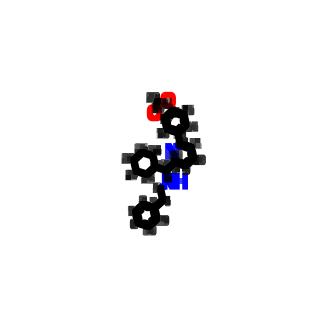 c1ccc(CCNC(c2cccc(-c3ccc4c(c3)OCO4)n2)C2CCCCC2)cc1